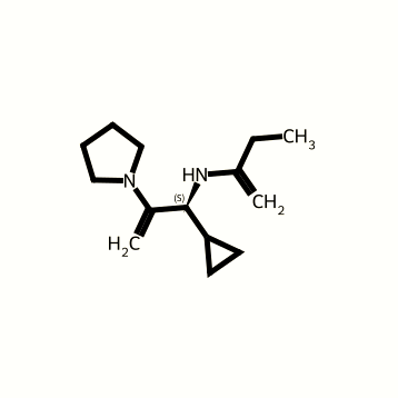 C=C(CC)N[C@H](C(=C)N1CCCC1)C1CC1